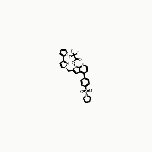 O=C(On1c(Cn2ccc(-c3cccs3)n2)cc2c(-c3ccc(S(=O)(=O)N4CCCC4)cc3)ccnc21)C(F)(F)F